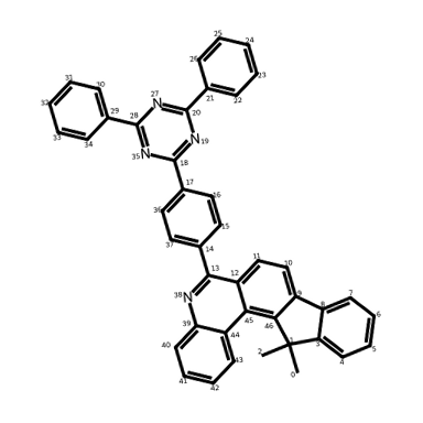 CC1(C)c2ccccc2-c2ccc3c(-c4ccc(-c5nc(-c6ccccc6)nc(-c6ccccc6)n5)cc4)nc4ccccc4c3c21